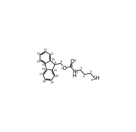 O=C(NCCCS)OCC1c2ccccc2-c2ccccc21